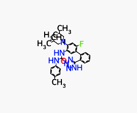 Cc1ccc(NC(=O)Nc2cc(-c3ccccc3-c3nnn[nH]3)c(F)cc2N(CC(C)C)CC(C)C)cc1